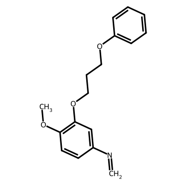 C=Nc1ccc(OC)c(OCCCOc2ccccc2)c1